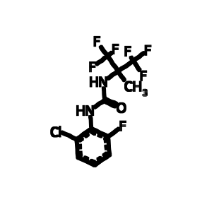 CC(NC(=O)Nc1c(F)cccc1Cl)(C(F)(F)F)C(F)(F)F